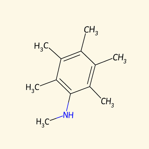 CNc1c(C)c(C)c(C)c(C)c1C